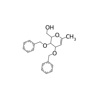 CC1=CC(OCc2ccccc2)C(OCc2ccccc2)C(CO)O1